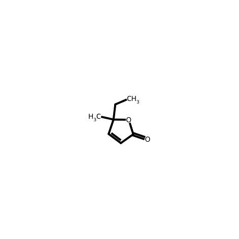 CCC1(C)C=CC(=O)O1